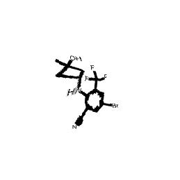 CC1(O)CC(Nc2c(C#N)cc(Br)cc2C(F)(F)F)C1